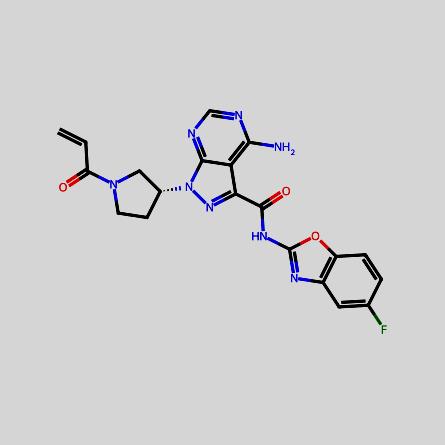 C=CC(=O)N1CC[C@@H](n2nc(C(=O)Nc3nc4cc(F)ccc4o3)c3c(N)ncnc32)C1